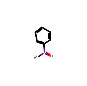 CC(C)[P](=O)c1ccccc1